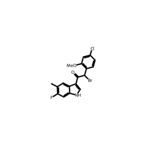 COc1cc(Cl)ccc1C(Br)C(=O)c1c[nH]c2cc(F)c(C)cc12